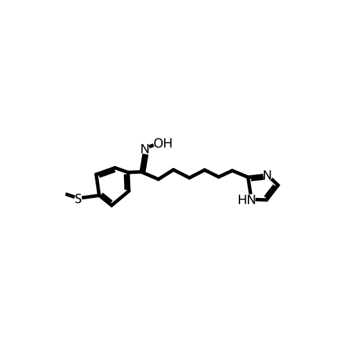 CSc1ccc(C(CCCCCCc2ncc[nH]2)=NO)cc1